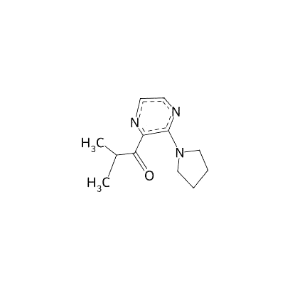 CC(C)C(=O)c1nccnc1N1CCCC1